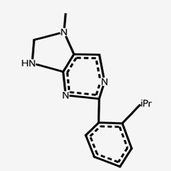 CC(C)c1ccccc1-c1ncc2c(n1)NCN2C